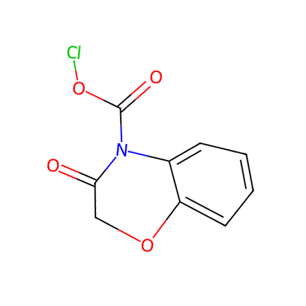 O=C1COc2ccccc2N1C(=O)OCl